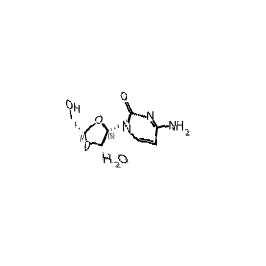 Nc1ccn([C@@H]2CO[C@H](CO)O2)c(=O)n1.O